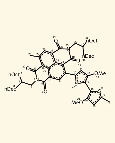 CCCCCCCCCCC(CCCCCCCC)CN1C(=O)c2cc(-c3cc(OC)c(-c4sc(C)cc4OC)s3)c3c4c(cc(C)c(c24)C1=O)C(=O)N(CC(CCCCCCCC)CCCCCCCCCC)C3=O